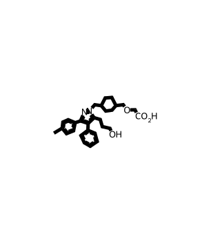 Cc1ccc(-c2nn(CC3CCC(COCC(=O)O)CC3)c(CCCO)c2-c2ccccc2)cc1